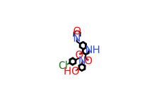 O=C(c1c[nH]c2ccc(CN3CCOCC3)cc2c1=O)N(Cc1ccc(Cl)cc1)c1cccc(O)c1